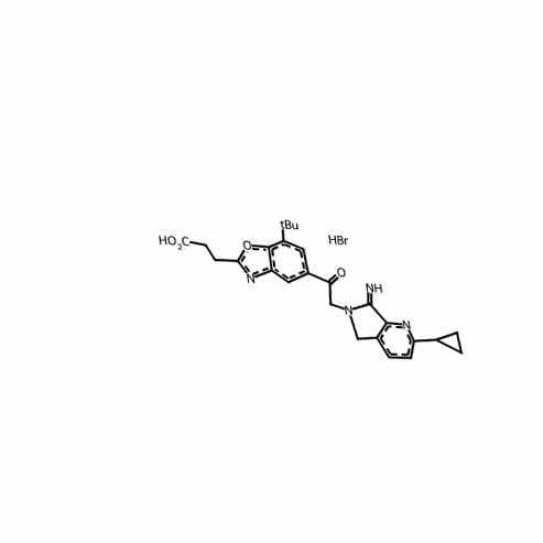 Br.CC(C)(C)c1cc(C(=O)CN2Cc3ccc(C4CC4)nc3C2=N)cc2nc(CCC(=O)O)oc12